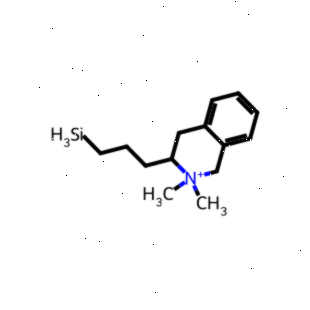 C[N+]1(C)Cc2ccccc2CC1CCC[SiH3]